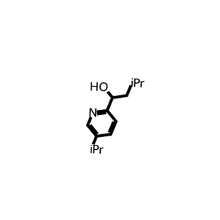 CC(C)CC(O)c1ccc(C(C)C)cn1